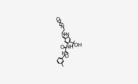 Cc1cccc(-c2nc(C(=O)Nc3cc4cn(CCN5CC6(COC6)C5)nc4cc3C(C)(C)O)co2)c1